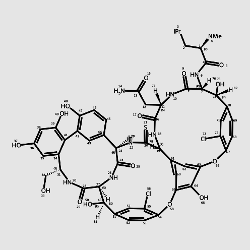 CN[C@H](CC(C)C)C(=O)N[C@H]1C(=O)N[C@@H](CC(N)=O)C(=O)N[C@H]2C(=S)N[C@H]3C(=O)N[C@H](C(=O)N[C@H](CO)c4cc(O)cc(O)c4-c4cc3ccc4O)[C@H](O)c3ccc(c(Cl)c3)Oc3cc2cc(c3O)Oc2ccc(cc2Cl)[C@H]1O